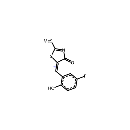 CSC1=NC(=O)/C(=C\c2cc(F)ccc2O)S1